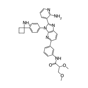 COCC(OC)C(=O)Nc1cccc(-c2ccc3nc(-c4cccnc4N)n(-c4ccc(C5(N)CCC5)cc4)c3n2)c1